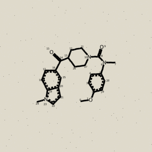 COc1ccc(N(C)C(=O)N2CCC(C(=O)c3ccc4c(ccn4C)c3)CC2)cc1